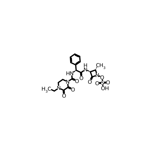 CCN1CCN(C(=O)N[C@H](C(=O)N[C@@H]2C(=O)N(OS(=O)(=O)O)[C@H]2C)c2ccccc2)C(=O)C1=O